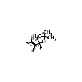 CC(C)(C)OC(F)(F)C(F)=C(F)F